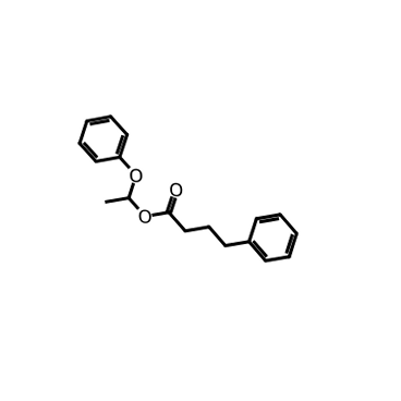 CC(OC(=O)CCCc1ccccc1)Oc1ccccc1